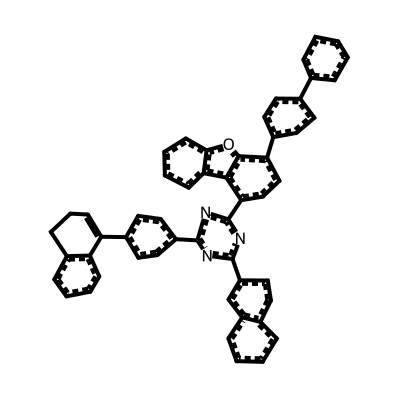 C1=C(c2ccc(-c3nc(-c4ccc5ccccc5c4)nc(-c4ccc(-c5ccc(-c6ccccc6)cc5)c5oc6ccccc6c45)n3)cc2)c2ccccc2CC1